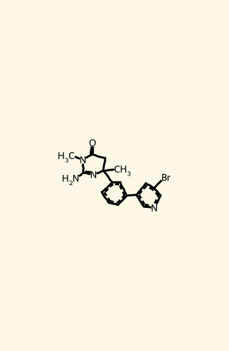 CN1C(=O)CC(C)(c2cccc(-c3cncc(Br)c3)c2)N=C1N